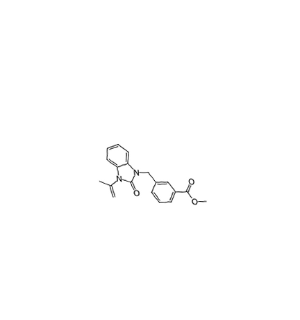 C=C(C)n1c(=O)n(Cc2cccc(C(=O)OC)c2)c2ccccc21